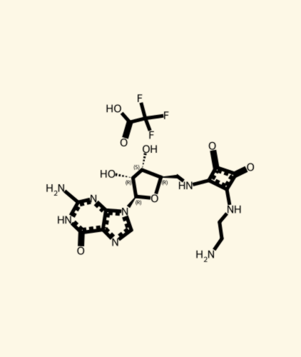 NCCNc1c(NC[C@H]2O[C@@H](n3cnc4c(=O)[nH]c(N)nc43)[C@H](O)[C@@H]2O)c(=O)c1=O.O=C(O)C(F)(F)F